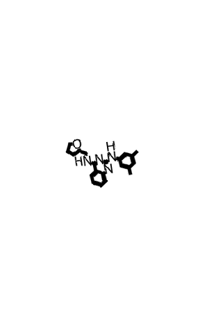 Cc1cc(C)cc(Nc2nc(NCC3CCCO3)c3ccccc3n2)c1